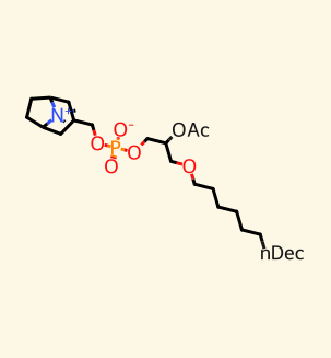 CCCCCCCCCCCCCCCCOCC(COP(=O)([O-])OCC1CC2CCC(C1)[N+]2(C)C)OC(C)=O